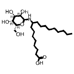 CCCCCCCCCC(CCCCCCCC(=O)O)NC1O[C@H](CO)[C@H](O)[C@H](O)[C@H]1O